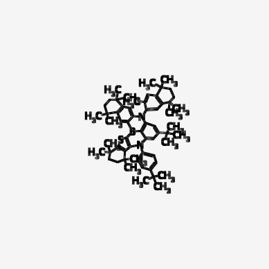 Cc1cc2c(cc1N1c3cc4c(cc3B3c5sc6c(c5N(c5ccc(C(C)(C)C)cc5)c5cc(C(C)(C)C)cc1c53)C(C)(C)CCC6(C)C)C(C)(C)CCC4(C)C)C(C)(C)CCC2(C)C